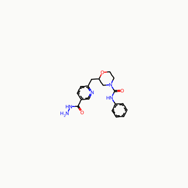 NNC(=O)c1ccc(CC2CN(C(=O)Nc3ccccc3)CCO2)nc1